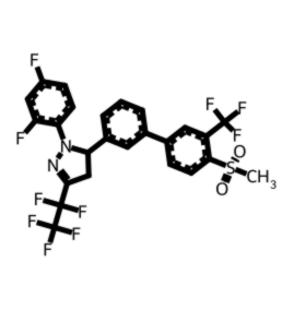 CS(=O)(=O)c1ccc(-c2cccc(C3CC(C(F)(F)C(F)(F)F)=NN3c3ccc(F)cc3F)c2)cc1C(F)(F)F